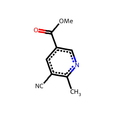 COC(=O)c1cnc(C)c(C#N)c1